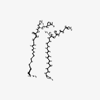 CCCCCCCCCCCCCCCC(=O)OCC(CC)CCCC.CCCCCCCCCCCCCCCCC(C)OC(=O)CCCCC